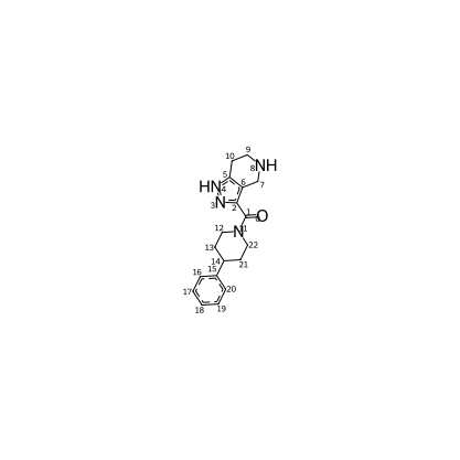 O=C(c1n[nH]c2c1CNCC2)N1CCC(c2ccccc2)CC1